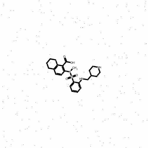 CN(c1ccc2c(c1C(=O)O)CCCC2)S(=O)(=O)c1ccccc1NCC1CCNCC1